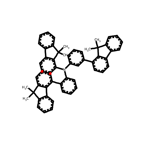 CC1(C)c2ccccc2-c2c(-c3ccccc3N(c3cccc(-c4cccc5c4C(C)(C)c4ccccc4-5)c3)c3cccc4c3C(C)(C)c3ccccc3-4)cccc21